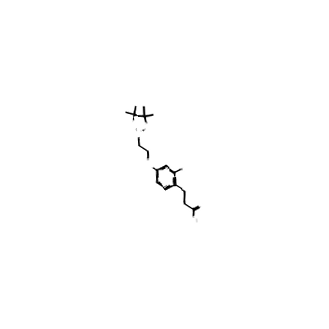 CC1(C)OB(CCOc2ccc(CCC(=O)O)c(F)c2)OC1(C)C